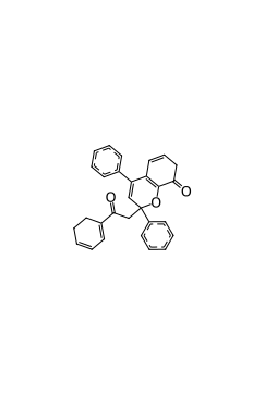 O=C(CC1(c2ccccc2)C=C(c2ccccc2)C2=C(O1)C(=O)CC=C2)C1=CC=CCC1